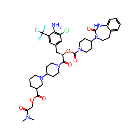 CN(C)C(=O)COC(=O)C1CCCN(C2CCN(C(=O)[C@@H](Cc3cc(Cl)c(N)c(C(F)(F)F)c3)OC(=O)N3CCC(N4CCc5ccccc5NC4=O)CC3)CC2)C1